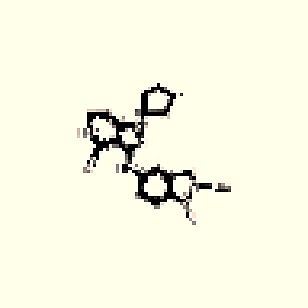 CC(C)(C)N1Cc2cc(Nc3nn(C4CCCC4)c4cc[nH]c(=O)c34)ccc2[S+]1[O-]